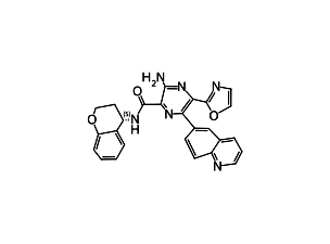 Nc1nc(-c2ncco2)c(-c2ccc3ncccc3c2)nc1C(=O)N[C@H]1CCOc2ccccc21